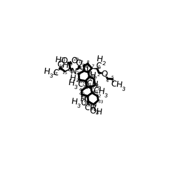 C=C(COCCC)[C@@H]1CC[C@]2(C(=O)N[C@@H](CC(C)C)C(=O)O)CC[C@]3(C)[C@H](CCC4[C@@]5(C)CC[C@H](O)C(C)(C)[C@@H]5CC[C@]43C)[C@@H]12